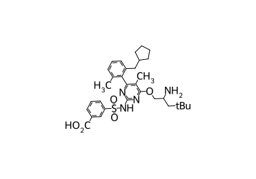 Cc1cccc(CC2CCCC2)c1-c1nc(NS(=O)(=O)c2cccc(C(=O)O)c2)nc(OCC(N)CC(C)(C)C)c1C